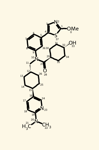 COc1ncc(-c2cccc(N(C[C@H]3CC[C@H](c4ccc(N(C)C)nc4)CC3)C(=O)[C@H]3CC[C@H](O)CC3)c2)s1